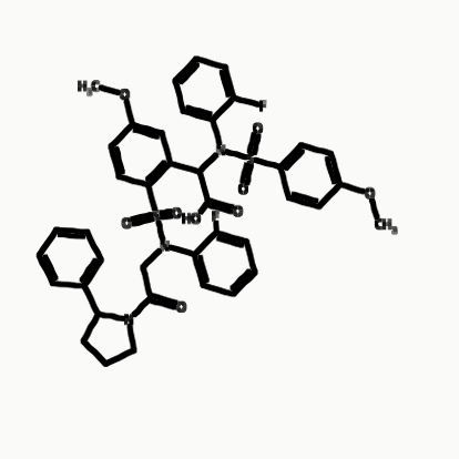 COc1ccc(S(=O)(=O)N(c2ccccc2F)C(C(=O)O)c2cc(OC)ccc2S(=O)(=O)N(CC(=O)N2CCCC2c2ccccc2)c2ccccc2F)cc1